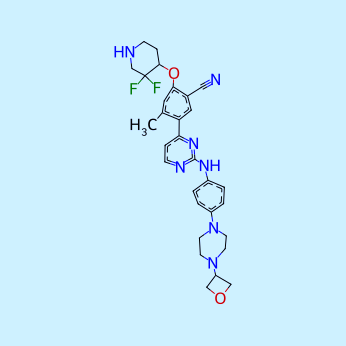 Cc1cc(OC2CCNCC2(F)F)c(C#N)cc1-c1ccnc(Nc2ccc(N3CCN(C4COC4)CC3)cc2)n1